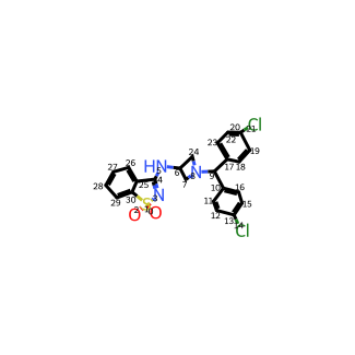 O=S1(=O)N=C(NC2CN(C(c3ccc(Cl)cc3)c3ccc(Cl)cc3)C2)c2ccccc21